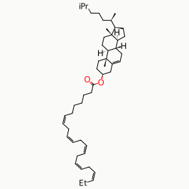 CC/C=C\C/C=C\C/C=C\C/C=C\C/C=C\CCCCCC(=O)O[C@H]1CC[C@@]2(C)C(=CC[C@H]3[C@@H]4CC[C@H]([C@H](C)CCCC(C)C)[C@@]4(C)CC[C@@H]32)C1